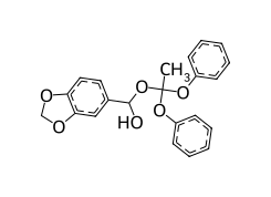 CC(Oc1ccccc1)(Oc1ccccc1)OC(O)c1ccc2c(c1)OCO2